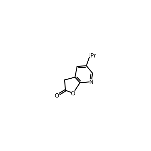 CC(C)c1cnc2c(c1)CC(=O)O2